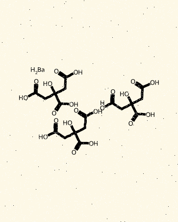 O=C(O)CC(O)(CC(=O)O)C(=O)O.O=C(O)CC(O)(CC(=O)O)C(=O)O.O=C(O)CC(O)(CC(=O)O)C(=O)O.[BaH2]